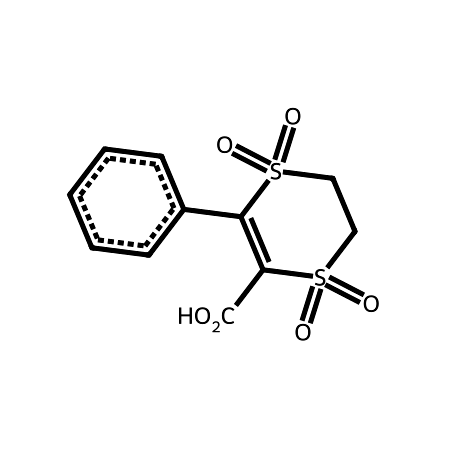 O=C(O)C1=C(c2ccccc2)S(=O)(=O)CCS1(=O)=O